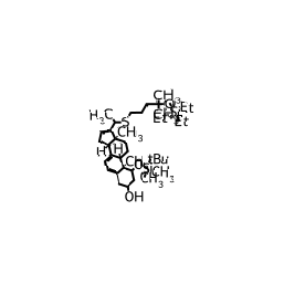 CC[Si](CC)(CC)OC(C)(C)CCCSC(C)C1=CC[C@H]2C3=CC=C4CC(O)CC(O[Si](C)(C)C(C)(C)C)[C@]4(C)[C@H]3CC[C@]12C